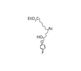 CCOC(=O)CCCCCCC(CCCC(O)COc1ccc(F)cc1)C(C)=O